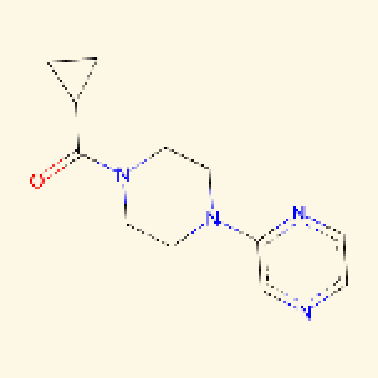 O=C(C1CC1)N1CCN(c2cnccn2)CC1